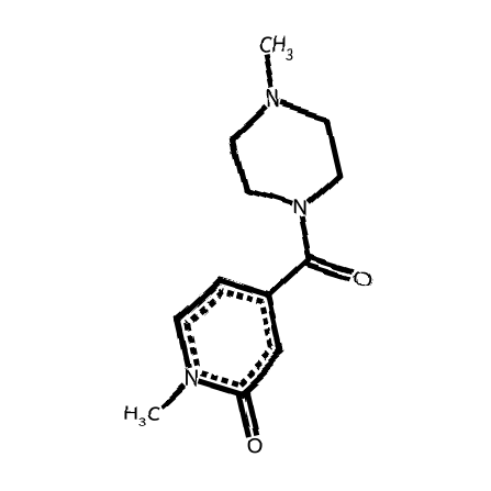 CN1CCN(C(=O)c2ccn(C)c(=O)c2)CC1